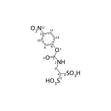 O=C(NCC(S(=O)(=O)O)S(=O)(=O)O)Oc1ccc([N+](=O)[O-])cc1